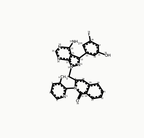 Cc1cccnc1-n1c(Cn2nc(-c3cc(O)cc(F)c3)c3c(N)ncnc32)cc2ccccc2c1=O